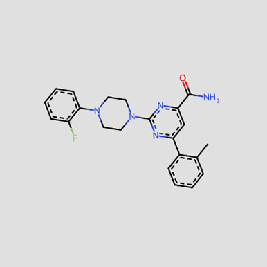 Cc1ccccc1-c1cc(C(N)=O)nc(N2CCN(c3ccccc3F)CC2)n1